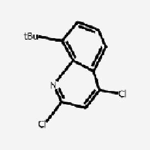 CC(C)(C)c1cccc2c(Cl)cc(Cl)nc12